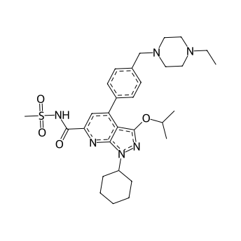 CCN1CCN(Cc2ccc(-c3cc(C(=O)NS(C)(=O)=O)nc4c3c(OC(C)C)nn4C3CCCCC3)cc2)CC1